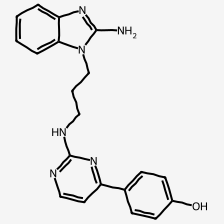 Nc1nc2ccccc2n1CCCNc1nccc(-c2ccc(O)cc2)n1